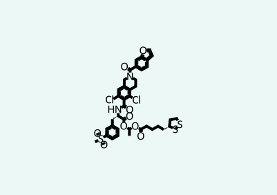 CC(OC(=O)CCCC[C@@H]1CCSS1)OC(=O)[C@H](Cc1cccc(S(C)(=O)=O)c1)NC(=O)c1c(Cl)cc2c(c1Cl)CCN(C(=O)c1ccc3ccoc3c1)C2